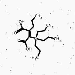 CCC/C(C(=O)O)=C(/C(=O)O)[Si](CCC)(CCC)CCC